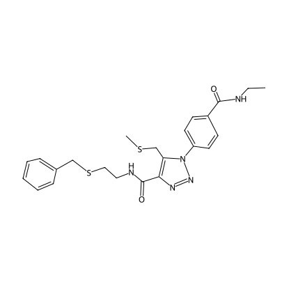 CCNC(=O)c1ccc(-n2nnc(C(=O)NCCSCc3ccccc3)c2CSC)cc1